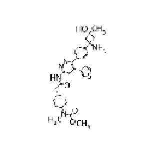 COC(=O)N(C)[C@H]1CC[C@H](CC(=O)Nc2cc(-c3ccsc3)c(-c3ccc([C@]4(N)C[C@](C)(O)C4)cc3)nn2)CC1